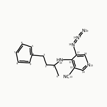 CC(CCc1ccccc1)Nc1c(C#N)cncc1N=[N+]=[N-]